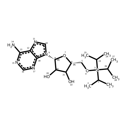 CC(C)[Si](OC[C@H]1O[C@@H](n2cnc3c(N)ncnc32)C(O)C1O)(C(C)C)C(C)C